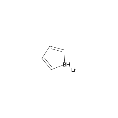 B1C=CC=C1.[Li]